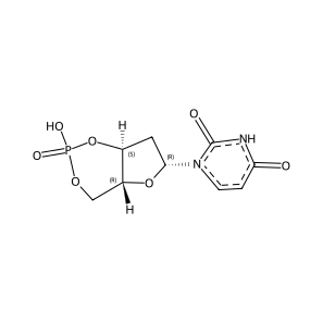 O=c1ccn([C@H]2C[C@@H]3OP(=O)(O)OC[C@H]3O2)c(=O)[nH]1